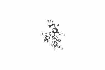 CC[C@H](Nc1cc(C)c(-c2sc(C(=O)NCC(C)(C)O)nc2C(=O)N2CC(F)(F)C[C@@H]2C)cn1)C1CC1